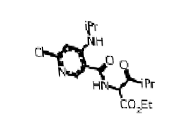 CCOC(=O)C(NC(=O)c1cnc(Cl)cc1NC(C)C)C(=O)C(C)C